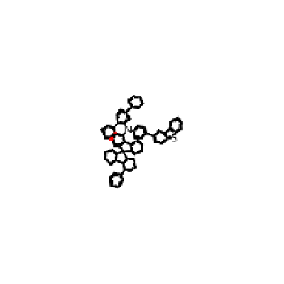 c1ccc(-c2ccc(-c3ccccc3)c(N(c3ccc(-c4ccc5sc6ccccc6c5c4)cc3)c3cccc4c3-c3ccccc3C43c4ccccc4-c4c(-c5ccccc5)cccc43)c2)cc1